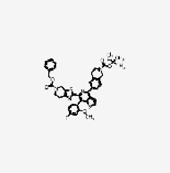 COc1cc(F)ccc1-c1c(-c2nc3c(s2)CN(C(=O)OCc2ccccc2)CC3)nc(-c2ccc3c(c2)CCN(C(=O)OC(C)(C)C)C3)c2ccsc12